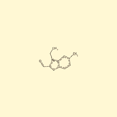 CCn1c(C=O)cc2ccc(C)cc21